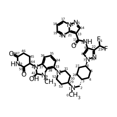 CN(C[C@H]1CC[C@H](n2cc(NC(=O)c3cnn4cccnc34)c(C(F)F)n2)CC1)C1CCN(c2cccc3c2N(C)C(O)N3C2CCC(=O)NC2=O)CC1